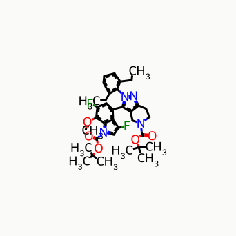 CCc1cccc(CC)c1-n1nc2c(c1-c1cc(F)c(OC)c3c1c(F)cn3C(=O)OC(C)(C)C)CN(C(=O)OC(C)(C)C)CC2